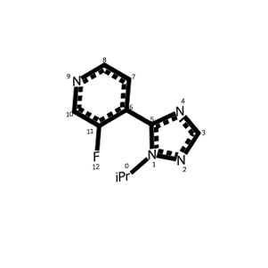 CC(C)n1ncnc1-c1ccncc1F